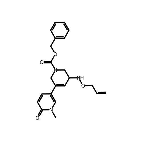 C=CCONC1C=C(c2ccc(=O)n(C)c2)CN(C(=O)OCc2ccccc2)C1